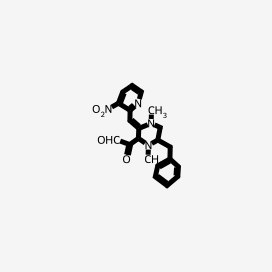 CN1CC(Cc2ccccc2)N(C)C(C(=O)C=O)C1=Cc1ncccc1[N+](=O)[O-]